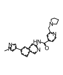 Cn1cc(-c2ccc3cnc(NC(=O)c4ccnc(CN5CCCC5)c4)cc3c2)cn1